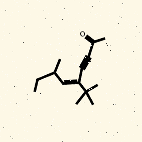 CCC(C)C=C(C#CC(C)=O)C(C)(C)C